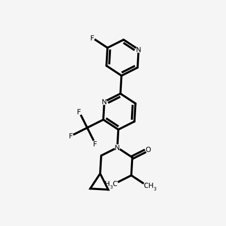 CC(C)C(=O)N(CC1CC1)c1ccc(-c2cncc(F)c2)nc1C(F)(F)F